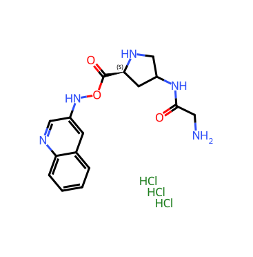 Cl.Cl.Cl.NCC(=O)NC1CN[C@H](C(=O)ONc2cnc3ccccc3c2)C1